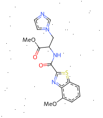 COC(=O)C(Cn1ccnc1)NC(=O)c1nc2c(OC)cccc2s1